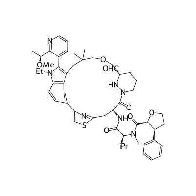 CCn1c(-c2cccnc2[C@H](C)OC)c2c3cc(ccc31)-c1csc(n1)C[C@H](NC(=O)[C@H](C(C)C)N(C)C(=O)[C@H]1OCC[C@H]1c1ccccc1)C(=O)N1CCC[C@](C=O)(COCC(C)(C)C2)N1